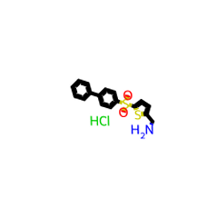 Cl.NCc1ccc(S(=O)(=O)c2ccc(-c3ccccc3)cc2)s1